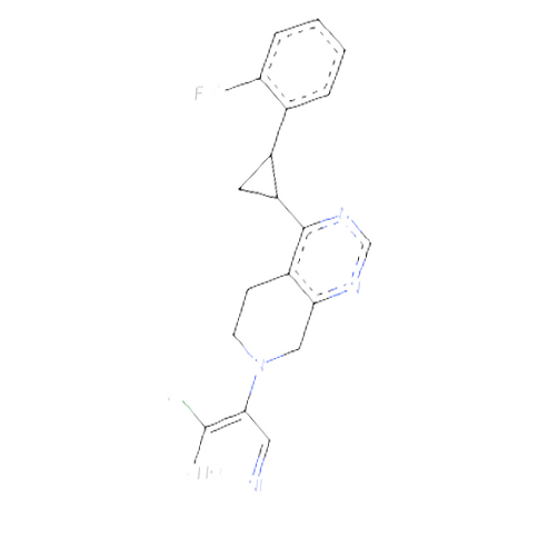 N=C/C(=C(/Cl)C=O)N1CCc2c(ncnc2C2CC2c2ccccc2C(F)(F)F)C1